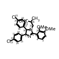 COc1cccc(C2=NC(c3ccc(Cl)cc3)C(c3ccc(Cl)cc3)N2CC(C)C=O)c1OC